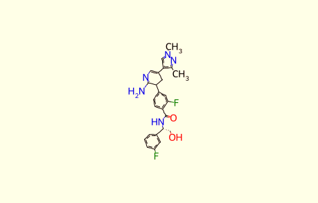 Cc1nn(C)cc1C1=CN=C(N)C(c2ccc(C(=O)N[C@H](CO)c3cccc(F)c3)c(F)c2)C1